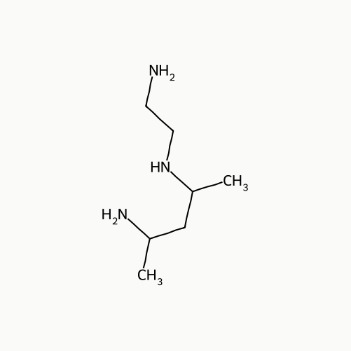 CC(N)CC(C)NCCN